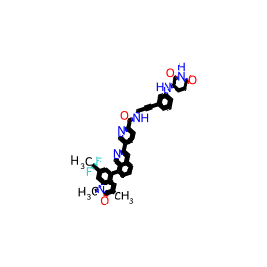 Cc1cc2c(-c3cccc4cc(-c5ccc(C(=O)NCC#Cc6cccc(NC7CCC(=O)NC7=O)c6)nc5)ncc34)cc(C(C)(F)F)cc2n(C)c1=O